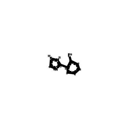 Fc1ccccc1-c1n[c]sn1